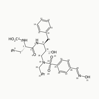 CC(C)C[C@H](NC(=O)O)C(=O)N[C@@H](Cc1ccccc1)[C@H](O)CN(CC(C)C)S(=O)(=O)c1ccc(C=NO)cc1